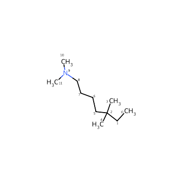 CCC(C)(C)CCCCN(C)C